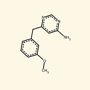 COc1cccc(Cc2cc(N)ncn2)c1